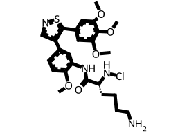 COc1ccc(-c2cnsc2-c2cc(OC)c(OC)c(OC)c2)cc1NC(=O)[C@@H](CCCCN)NCl